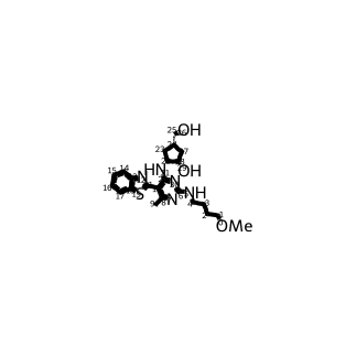 COCCCCNc1nc(C)c(-c2nc3ccccc3s2)c(N[C@@H]2C[C@H](CO)C[C@H]2O)n1